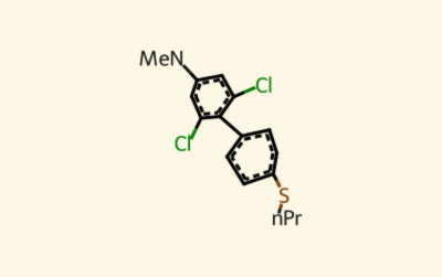 CCCSc1ccc(-c2c(Cl)cc(NC)cc2Cl)cc1